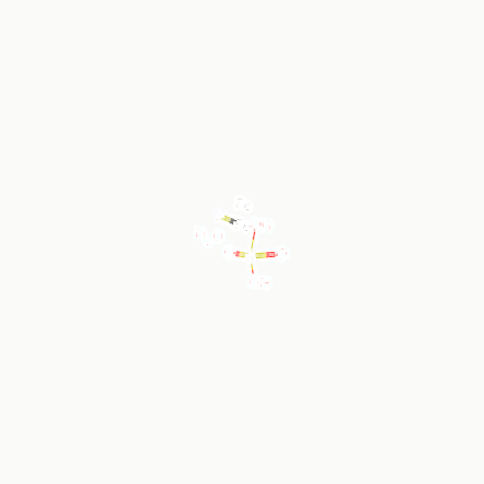 O.O=S(=O)(O)O.[Fe].[S]=[Fe]